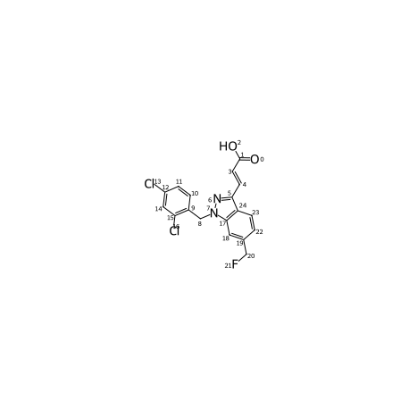 O=C(O)/C=C/c1nn(Cc2ccc(Cl)cc2Cl)c2cc(CF)ccc12